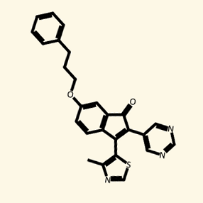 Cc1ncsc1C1=C(c2cncnc2)C(=O)c2cc(OCCCc3ccccc3)ccc21